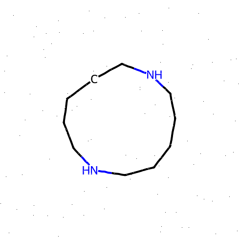 C1CCNCCCCCNCC1